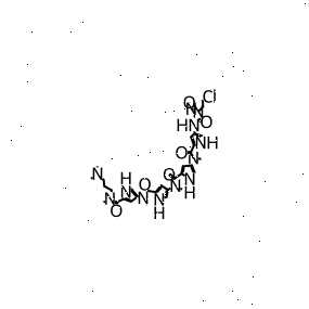 CN(C)CCCN(C)C(=O)c1cc(N(C)C(=O)c2cc(N(C)C(=O)c3cc(N(C)C(=O)c4cc(NC(=O)N(CCCl)N=O)c[nH]4)c[nH]3)c[nH]2)c[nH]1